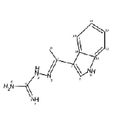 C/C(=N\NC(=N)N)c1c[nH]c2ccccc12